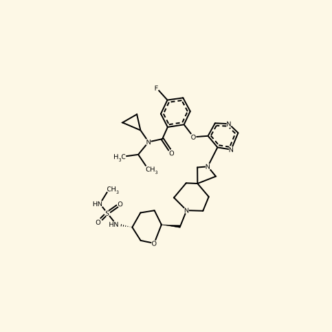 CNS(=O)(=O)N[C@@H]1CC[C@@H](CN2CCC3(CC2)CN(c2ncncc2Oc2ccc(F)cc2C(=O)N(C(C)C)C2CC2)C3)OC1